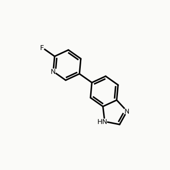 Fc1ccc(-c2ccc3nc[nH]c3c2)cn1